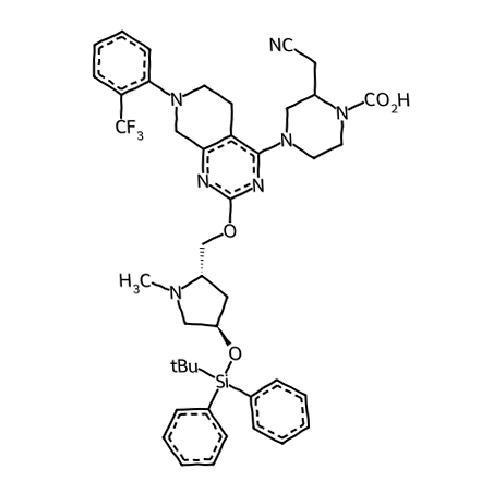 CN1C[C@H](O[Si](c2ccccc2)(c2ccccc2)C(C)(C)C)C[C@H]1COc1nc2c(c(N3CCN(C(=O)O)C(CC#N)C3)n1)CCN(c1ccccc1C(F)(F)F)C2